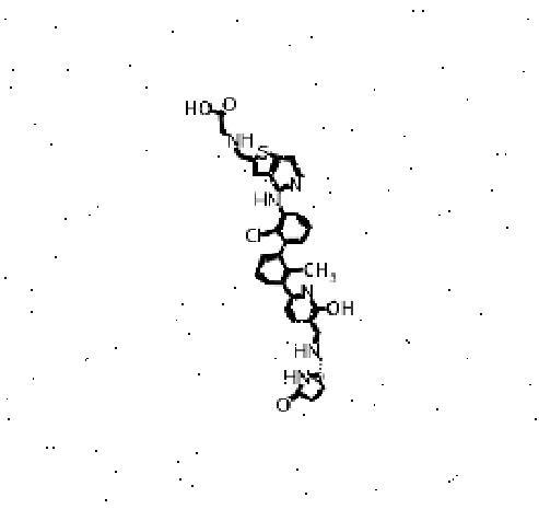 Cc1c(-c2ccc(CNC[C@@H]3CCC(=O)N3)c(O)n2)cccc1-c1cccc(Nc2nccc3sc(CNCC(=O)O)cc23)c1Cl